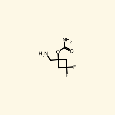 NCC1(OC(N)=O)CC(F)(F)C1